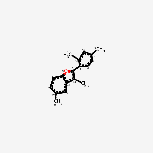 Cc1ccc(-c2oc3ccc(C)cc3c2C)c(C)c1